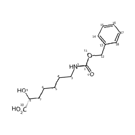 O=C(NCCCCC[C@@H](O)C(=O)O)OCc1ccccc1